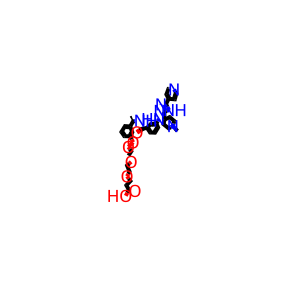 C[C@@H](NC(=O)c1cccc(NC2(c3nnc(-c4ccncc4)[nH]3)CCN(C)CC2)c1)c1cccc(OOCCOCCOCCC(=O)O)c1